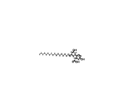 CCCCCCCCCCCCCCCCCCOc1cc(O)cc(C(=O)N(CC(=O)O)CC(=O)O)c1